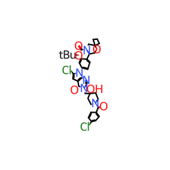 CC(C)(C)OC(=O)N1CC2(CCC2)OCC1c1ccc(-n2c(Cl)cc3c(=O)n(CC4(O)CCN(C(=O)c5ccc(Cl)cc5)CC4)cnc32)cc1